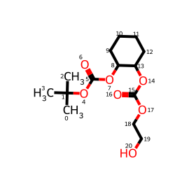 CC(C)(C)OC(=O)OC1CCCCC1OC(=O)OCCO